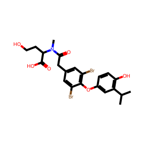 CC(C)c1cc(Oc2c(Br)cc(CC(=O)N(C)C(CCO)C(=O)O)cc2Br)ccc1O